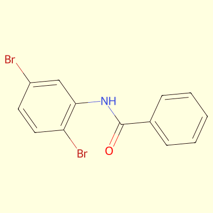 O=C(Nc1cc(Br)ccc1Br)c1ccccc1